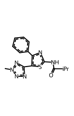 CC(C)C(=O)Nc1nc(-c2ccccc2)c(-c2nnn(C)n2)s1